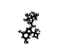 [2H]C([2H])([2H])C(C)(CC(=O)Nc1nc2c(F)cc(C#N)cc2n1C1(C)CCC1)C([2H])([2H])[2H]